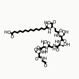 O=[C]CNC(=O)[C@H](CO)NC(=O)[C@H](CO)NC(=O)CNC(=O)[C@H](CO)NC(=O)[C@H](CO)NC(=O)CC[C@H](NC(=O)CCCCCCCCCCCCC(=O)O)C(=O)O